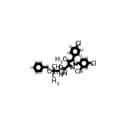 Cc1c(-c2nnc(C(C)(C)OCc3ccccc3)o2)nn(-c2ccc(Cl)cc2Cl)c1-c1ccc(Cl)cc1